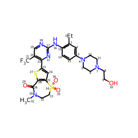 CCc1cc(N2CCN(CCO)CC2)ccc1Nc1ncc(C(F)(F)F)c(-c2cc3c(s2)C(=O)N(C)CCS3(=O)=O)n1